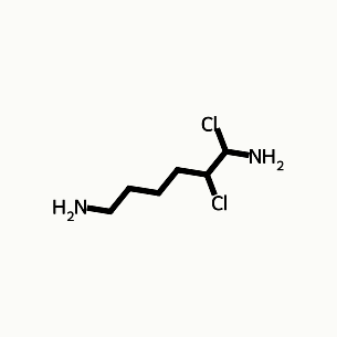 NCCCCC(Cl)C(N)Cl